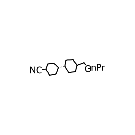 CCCOCC1CCC([C@H]2CC[C@H](C#N)CC2)CC1